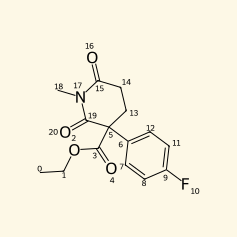 CCOC(=O)C1(c2ccc(F)cc2)CCC(=O)N(C)C1=O